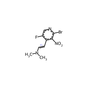 CN(C)/C=C/c1c(F)cnc(Br)c1[N+](=O)[O-]